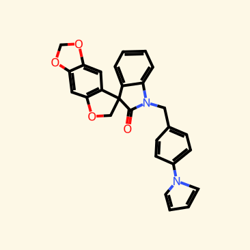 O=C1N(Cc2ccc(-n3cccc3)cc2)c2ccccc2C12COc1cc3c(cc12)OCO3